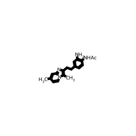 CC(=O)Nc1ccc(CCc2nc3cc(C)ccn3c2C)cc1N